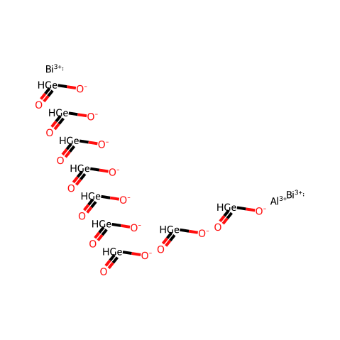 [Al+3].[Bi+3].[Bi+3].[O]=[GeH][O-].[O]=[GeH][O-].[O]=[GeH][O-].[O]=[GeH][O-].[O]=[GeH][O-].[O]=[GeH][O-].[O]=[GeH][O-].[O]=[GeH][O-].[O]=[GeH][O-]